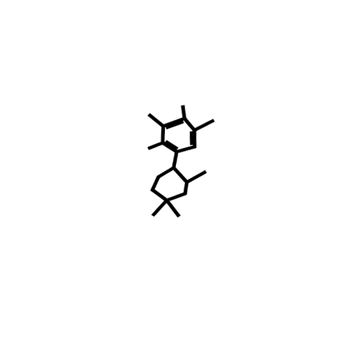 Cc1cc(C2CCC(C)(C)CC2C)c(C)c(C)c1C